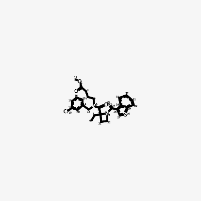 CCC1(C(=O)N(CCCC(=O)OC)Cc2cccc(Cl)c2)CCN1C(=O)c1csc2ccccc12